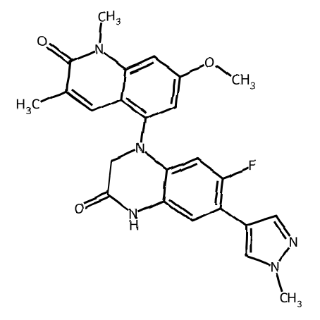 COc1cc(N2CC(=O)Nc3cc(-c4cnn(C)c4)c(F)cc32)c2cc(C)c(=O)n(C)c2c1